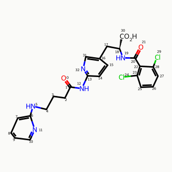 O=C(CCCNc1ccccn1)Nc1ccc(C[C@H](NC(=O)c2c(Cl)cccc2Cl)C(=O)O)cn1